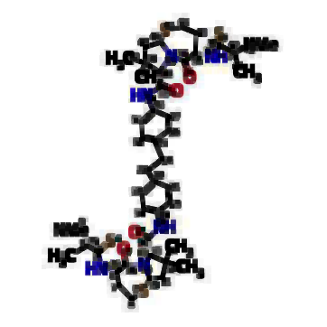 CN[C@@H](C)C(=S)N[C@H]1CCSC2CC(C)(C)[C@@H](C(=O)Nc3ccc(CCc4ccc(NC(=O)[C@H]5N6C(=O)[C@@H](NC(=S)[C@H](C)NC)CCSC6CC5(C)C)cc4)cc3)N2C1=O